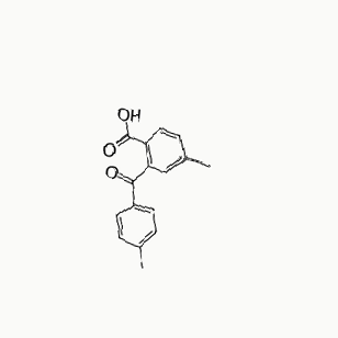 Cc1ccc(C(=O)c2cc(C)ccc2C(=O)O)cc1